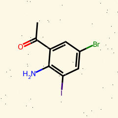 CC(=O)c1cc(Br)cc(I)c1N